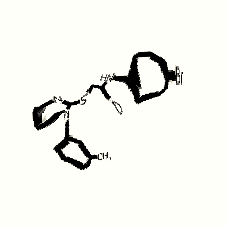 Cc1cccc(-n2ccnc2SCC(=O)Nc2ccc(Br)cc2)c1